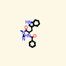 CN(C#N)C(=O)C(Cc1c[nH]c2ccccc12)NC(=O)c1ccccc1